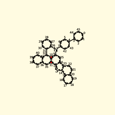 c1ccc(-c2ccc(N(c3ccc4sc5c6ccccc6ccc5c4c3)c3ccccc3-c3cccc4ccccc34)cc2)cc1